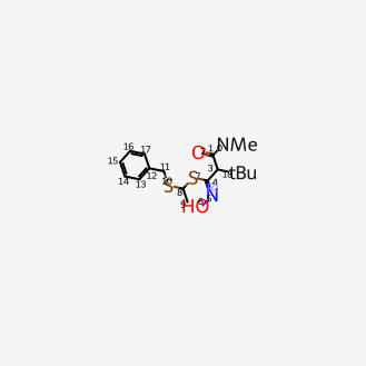 CNC(=O)C(/C(=N/O)SC(C)SCc1ccccc1)C(C)(C)C